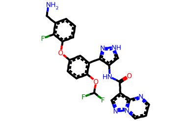 NCc1cccc(Oc2ccc(OC(F)F)c(-c3n[nH]cc3NC(=O)c3cnn4cccnc34)c2)c1F